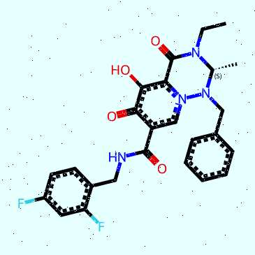 CCN1C(=O)c2c(O)c(=O)c(C(=O)NCc3ccc(F)cc3F)cn2N(Cc2ccccc2)[C@H]1C